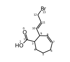 O=C(O)C1CCCC=CC1C=CCBr